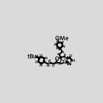 COc1ccc(CCC2(Cn3ccnc3)OCC(CSCc3ccc(C(C)(C)C)cc3)O2)cc1